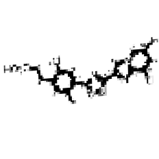 Cc1cc(CCC(=O)O)c(Cl)cc1-c1nc(-c2cn3cc(I)cc(Cl)c3n2)no1